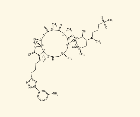 CC[C@H]1OC(=O)[C@H](C)C(=O)[C@H](C)[C@@H](O[C@@H]2O[C@H](C)CC(N(C)CCCS(C)(=O)=O)C2O)[C@](C)(OC)C[C@@H](C)CN[C@H](C)[C@H]2N(CCCCn3cc(-c4cccc(N)c4)nn3)C(=O)O[C@]12C